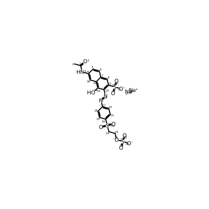 CC(=O)Nc1ccc2cc(S(=O)(=O)[O-])c(N=Nc3ccc(S(=O)(=O)CCOS(=O)(=O)[O-])cc3)c(O)c2c1.[Na+].[Na+]